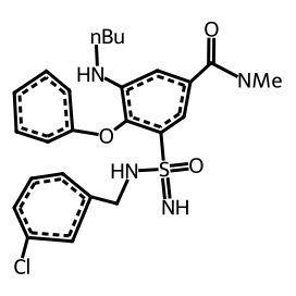 CCCCNc1cc(C(=O)NC)cc(S(=N)(=O)NCc2cccc(Cl)c2)c1Oc1ccccc1